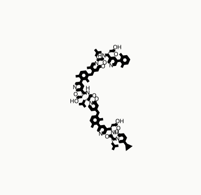 Cc1cn([C@H](CC(C)C)C(=O)N[C@H](CC(=O)O)c2cncc(-c3c(C)cccc3C)c2)c(=O)cc1Cc1ccc(C)c(-c2cncc([C@@H](CC(=O)O)NC(=O)[C@@H](CC(C)C)n3ccc(Cc4ccc(C)c(-c5cncc([C@@H](CC(=O)O)NC(=O)[C@@H](CC(C)C)n6cc(C7CC7)ccc6=O)c5)c4C)cc3=O)c2)c1C